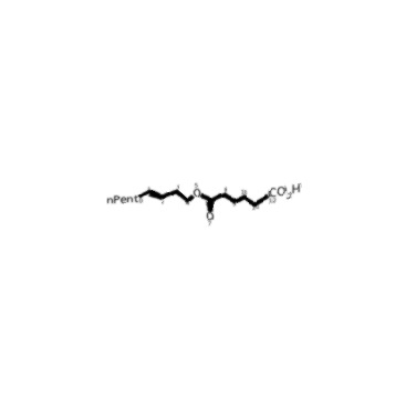 CCCCCC=CCCOC(=O)CCCCC(=O)O